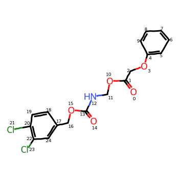 O=C(COc1ccccc1)OCNC(=O)OCc1ccc(Cl)c(Cl)c1